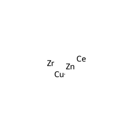 [Ce].[Cu].[Zn].[Zr]